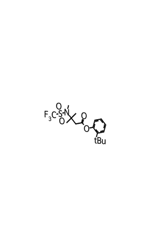 CN(C(C)(C)CC(=O)Oc1ccccc1C(C)(C)C)S(=O)(=O)C(F)(F)F